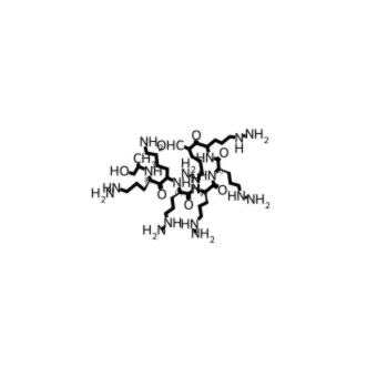 CC(CO)N[C@H](CCCNN)C(=O)C(CCCCN)N[C@H](CCCNN)C(=O)N[C@H](CCCNN)C(=O)N[C@H](CCCNN)C(=O)NC(CCCNN)C(=O)C(C=O)CCCNN